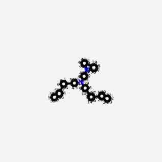 c1cc(-c2ccc(N(c3ccc(-c4cccc(-c5ccc6ccccc6c5)c4)cc3)c3ccc(-n4c5ccccc5c5ccccc54)cc3)cc2)cc(-c2ccc3ccccc3c2)c1